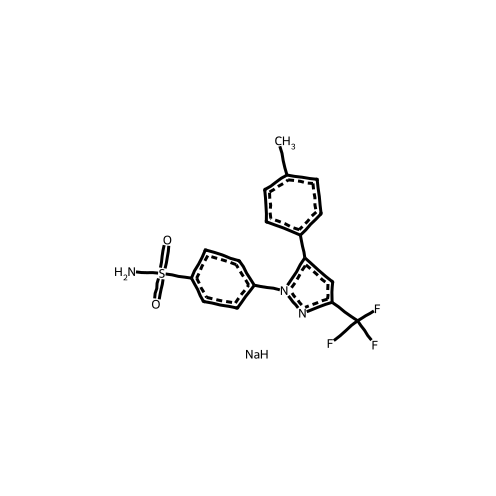 Cc1ccc(-c2cc(C(F)(F)F)nn2-c2ccc(S(N)(=O)=O)cc2)cc1.[NaH]